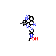 C=CC(O)N1CC2(CCN(c3nc4c(c(-c5c(C)ccc6cnn(C)c56)c3C#N)[C@H]3C[C@@H](C4)C3)C2)C1